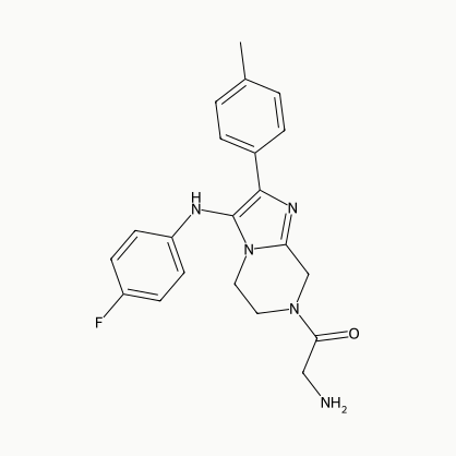 Cc1ccc(-c2nc3n(c2Nc2ccc(F)cc2)CCN(C(=O)CN)C3)cc1